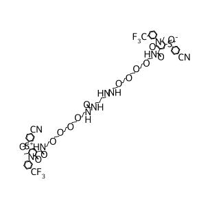 Cc1c([S+]([O-])c2ccc(C#N)cc2)cc(C(=O)NCCOCCOCCOCCOCCNNCCCCNC(=O)NCCOCCOCCOCCOCCNC(=O)c2cc([S+]([O-])c3ccc(C#N)cc3)c(C)n(-c3cccc(C(F)(F)F)c3)c2=O)c(=O)n1-c1cccc(C(F)(F)F)c1